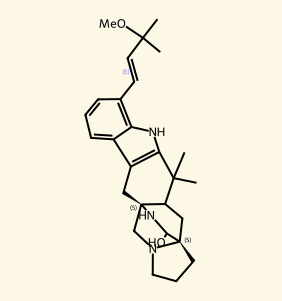 COC(C)(C)/C=C/c1cccc2c3c([nH]c12)C(C)(C)C1C[C@]24CCCN2C[C@@]1(C3)NC4O